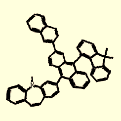 CN1c2ccccc2C=Cc2ccc(-c3c4ccccc4c(-c4cccc5c4-c4ccccc4C5(C)C)c4cc(-c5ccc6ccccc6c5)ccc34)cc21